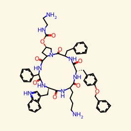 NCCCCC1NC(=O)[C@@H](Cc2c[nH]c3ccccc23)NC(=O)C(c2ccccc2)NC(=O)C2C[C@@H](OC(=O)NCCN)CN2C(=O)C(Cc2ccccc2)NC(=O)[C@H](Cc2ccc(OCc3ccccc3)cc2)NC1=O